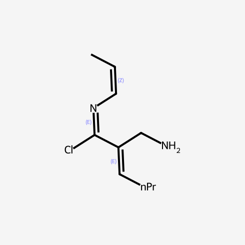 C\C=C/N=C(Cl)\C(=C\CCC)CN